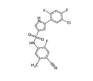 Cc1cc(NS(=O)(=O)c2c[nH]c(-c3cc(Cl)c(F)cc3F)c2)c(F)cc1C#N